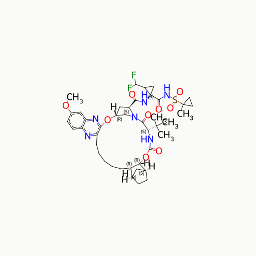 COc1ccc2nc3c(nc2c1)O[C@@H]1C[C@@H](C(=O)N[C@]2(C(=O)NS(=O)(=O)C4(C)CC4)CC2C(F)F)N(C1)C(=O)[C@H](C(C)(C)C)NC(=O)O[C@@H]1[C@H]2CC[C@H](C2)[C@H]1CCCCC3